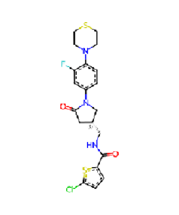 O=C(NC[C@@H]1CC(=O)N(c2ccc(N3CCSCC3)c(F)c2)C1)c1ccc(Cl)s1